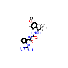 N=C(N)Nc1ccccc1C(=O)NC(=O)NNC(CC(=O)O)c1ccc(OC(F)(F)F)cc1